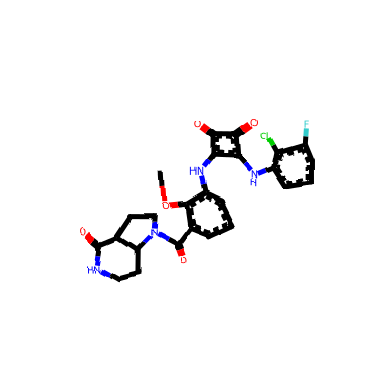 COc1c(Nc2c(Nc3cccc(F)c3Cl)c(=O)c2=O)cccc1C(=O)N1CCC2C(=O)NCCC21